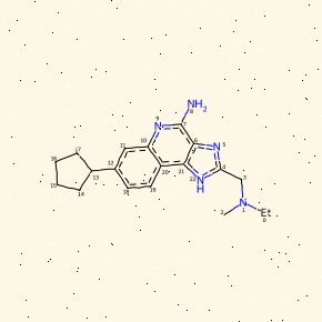 CCN(C)Cc1nc2c(N)nc3cc(C4CCCC4)ccc3c2[nH]1